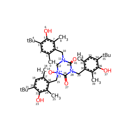 Cc1cc(C(C)(C)C)c(O)c(C)c1CN1C[N+]([O-])(Cc2c(C)cc(C(C)(C)C)c(O)c2C)C(=O)N(Cc2c(C)cc(C(C)(C)C)c(O)c2C)C1=O